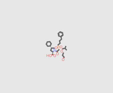 CC(C)[C@H](OCCC=O)OP(=O)(CCCCc1ccccc1)CC(=O)N1C[C@@H](C2CCCCC2)C[C@@H]1C(=O)O